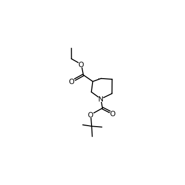 CCOC(=O)C1[CH]CCN(C(=O)OC(C)(C)C)C1